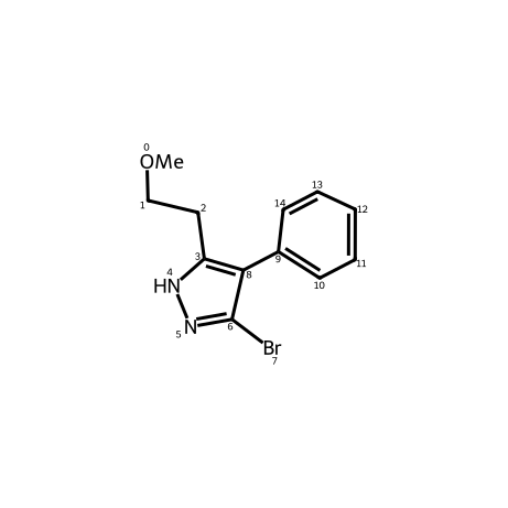 COCCc1[nH]nc(Br)c1-c1ccccc1